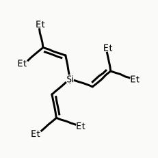 CCC(=C[Si](C=C(CC)CC)C=C(CC)CC)CC